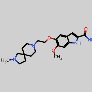 COc1cc2[nH]c(C(N)=O)cc2cc1OCCN1CCC2(CCN(C)C2)CC1